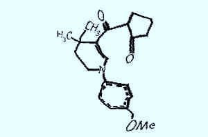 COc1ccc(N2C=C(C(=O)C3CCCC3=O)C(C)(C)CC2)cc1